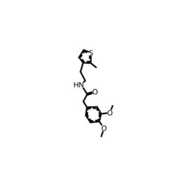 COc1ccc(CC(=O)NCCc2ccsc2C)cc1OC